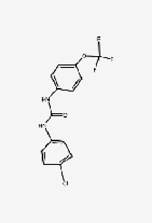 O=C(Nc1ccc(Cl)cc1)Nc1ccc(OC(F)(F)F)cc1